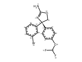 NC1=N[C@@](c2ccc(OC(F)F)cc2)(c2cccc(Br)c2)CO1